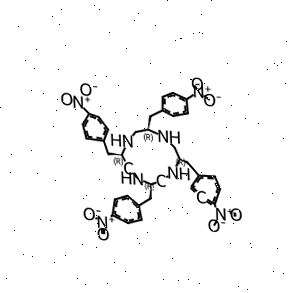 O=[N+]([O-])c1ccc(C[C@@H]2CN[C@H](Cc3ccc([N+](=O)[O-])cc3)CN[C@H](Cc3ccc([N+](=O)[O-])cc3)CN[C@H](Cc3ccc([N+](=O)[O-])cc3)CN2)cc1